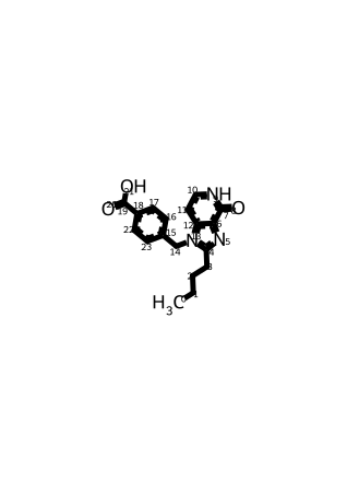 CCCCc1nc2c(=O)[nH]ccc2n1Cc1ccc(C(=O)O)cc1